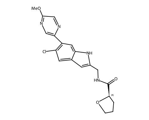 COc1cnc(-c2cc3[nH]c(CNC(=O)[C@H]4CCCO4)cc3cc2Cl)cn1